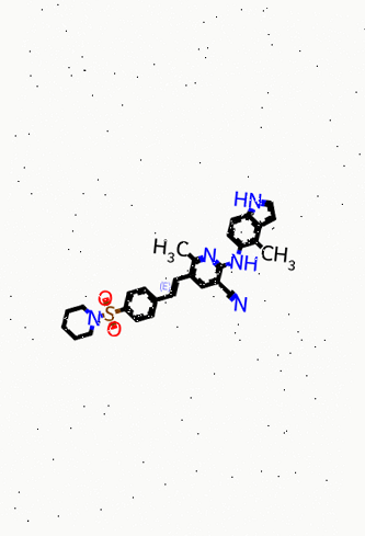 Cc1nc(Nc2ccc3[nH]ccc3c2C)c(C#N)cc1/C=C/c1ccc(S(=O)(=O)N2CCCCC2)cc1